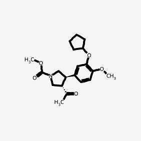 COC(=O)N1C[C@@H](C(C)=O)[C@H](c2ccc(OC)c(OC3CCCC3)c2)C1